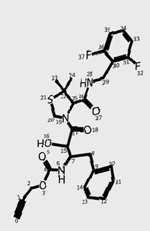 C#CCOC(=O)NC(Cc1ccccc1)C(O)C(=O)N1CSC(C)(C)C1C(=O)NCc1c(F)cccc1F